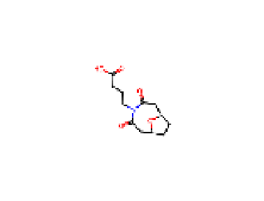 O=C(O)CCCN1C(=O)CC2CCC(CC1=O)O2